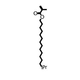 C=C(C)C(=O)OCCCCCCCCCCCCCC(C)C